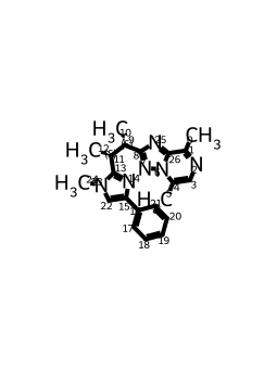 Cc1ncc(C)n2nc([C@@H](C)[C@H](C)c3nc(-c4ccccc4)cn3C)nc12